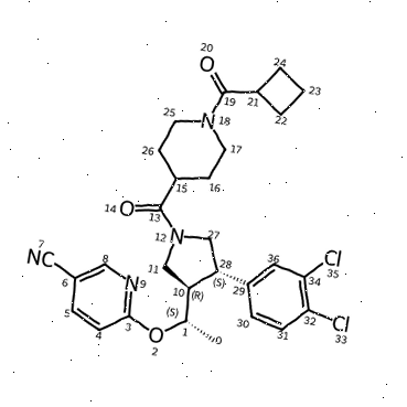 C[C@H](Oc1ccc(C#N)cn1)[C@H]1CN(C(=O)C2CCN(C(=O)C3CCC3)CC2)C[C@@H]1c1ccc(Cl)c(Cl)c1